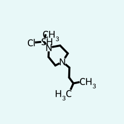 CC(C)CCN1CCN([SH](C)Cl)CC1